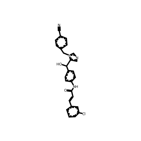 N#Cc1ccc(Cn2cncc2C(O)c2ccc(NC(=O)/C=C/c3cccc(Cl)c3)cc2)cc1